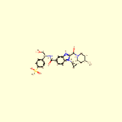 CCS(=O)(=O)c1ccc(C(CO)NC(=O)c2ccc3c(c2)nc(C(=O)N2CCC(C(F)(F)F)CC2)n3C2CC2)cc1